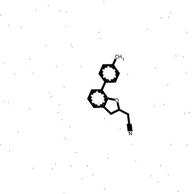 Cc1ccc(-c2cccc3c2OC(CC#N)C3)cc1